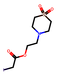 O=C(CI)OCCN1CCS(=O)(=O)CC1